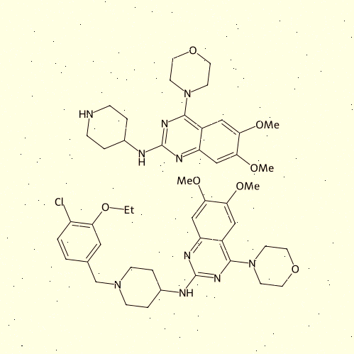 CCOc1cc(CN2CCC(Nc3nc(N4CCOCC4)c4cc(OC)c(OC)cc4n3)CC2)ccc1Cl.COc1cc2nc(NC3CCNCC3)nc(N3CCOCC3)c2cc1OC